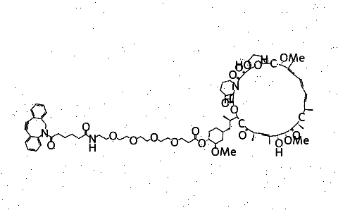 CO[C@H]1C[C@@H]2CC[C@@H](C)[C@@](O)(O2)C(=O)C(=O)N2CCCC[C@H]2C(=O)O[C@H]([C@H](C)C[C@@H]2CC[C@@H](OC(=O)CCOCCOCCOCCOCCNC(=O)CCCCC(=O)N3Cc4ccccc4C#Cc4ccccc43)[C@H](OC)C2)CC(=O)[C@H](C)/C=C(\C)[C@@H](O)[C@@H](OC)C(=O)[C@H](C)C[C@H](C)/C=C/C=C/C=C/1C